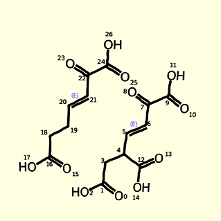 O=C(O)CC(/C=C/C(=O)C(=O)O)C(=O)O.O=C(O)CC/C=C/C(=O)C(=O)O